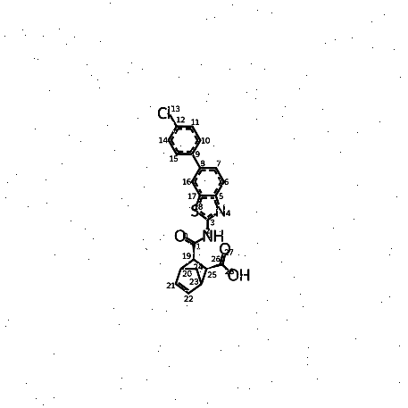 O=C(Nc1nc2ccc(-c3ccc(Cl)cc3)cc2s1)[C@@H]1C2C=CC(C2)[C@@H]1C(=O)O